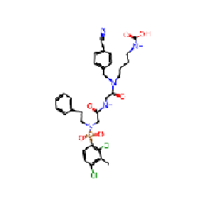 Cc1c(Cl)ccc(S(=O)(=O)N(CCc2ccccc2)CC(=O)NCC(=O)N(CCCCNC(=O)O)Cc2ccc(C#N)cc2)c1Cl